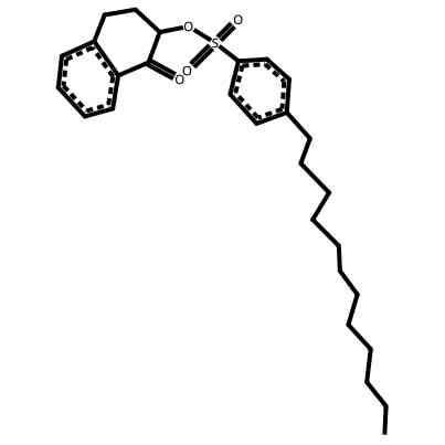 CCCCCCCCCCCCc1ccc(S(=O)(=O)OC2CCc3ccccc3C2=O)cc1